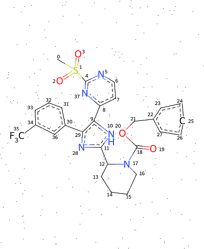 CS(=O)(=O)c1nccc(-c2[nH]c(C3CCCCN3C(=O)OCc3ccccc3)nc2-c2cccc(C(F)(F)F)c2)n1